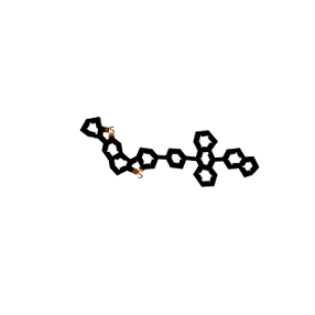 c1ccc2cc(-c3c4ccccc4c(-c4ccc(-c5ccc6c(c5)sc5ccc7cc8c(cc7c56)sc5ccccc58)cc4)c4ccccc34)ccc2c1